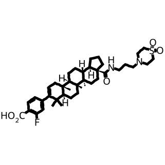 CC1(C)C(c2ccc(C(=O)O)c(F)c2)=CC[C@]2(C)[C@H]3CC[C@@H]4[C@H]5CCC[C@]5(C(=O)NCCCN5CCS(=O)(=O)CC5)CC[C@@]4(C)[C@]3(C)CC[C@@H]12